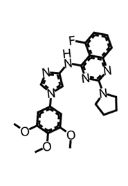 COc1cc(-n2cnc(Nc3nc(N4CCCC4)nc4cccc(F)c34)c2)cc(OC)c1OC